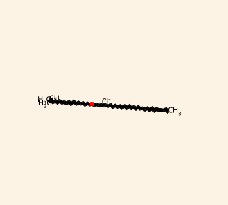 CCCCCCCCCCCCCCCCCCCCCCCCCCCCCCCCCCCCCCCCCCCCCCCCCCCC[N+](C)(C)C.[Cl-]